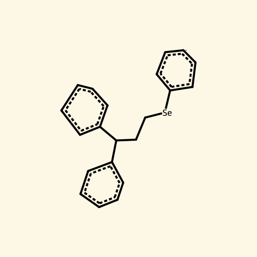 [c]1ccc([Se]CCC(c2ccccc2)c2ccccc2)cc1